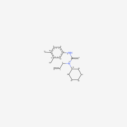 C=CCN(C(=C)Nc1ccc(C)c(C)c1)C1CCCCC1